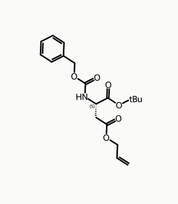 C=CCOC(=O)C[C@H](NC(=O)OCc1ccccc1)C(=O)OC(C)(C)C